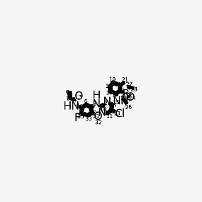 C=CC(=O)Nc1cc(Nc2ncc(Cl)c(Nc3cccc(C)c3P(=O)(CC)CC)n2)c(OC)cc1F